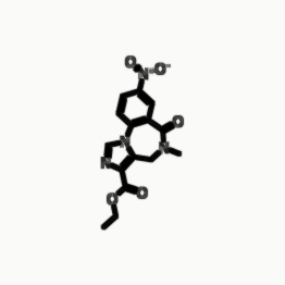 CCOC(=O)c1ncn2c1CN(C)C(=O)c1cc([N+](=O)[O-])ccc1-2